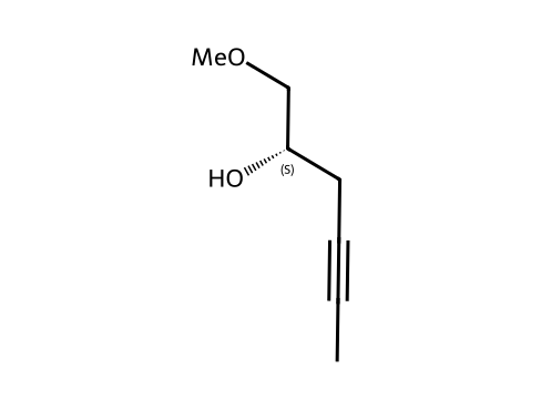 CC#CC[C@H](O)COC